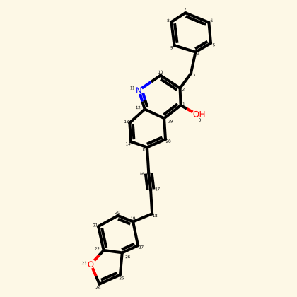 Oc1c(Cc2ccccc2)cnc2ccc(C#CCc3ccc4occc4c3)cc12